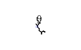 C=CC(=C)CC/C=C(/C)CN1CCOCC1